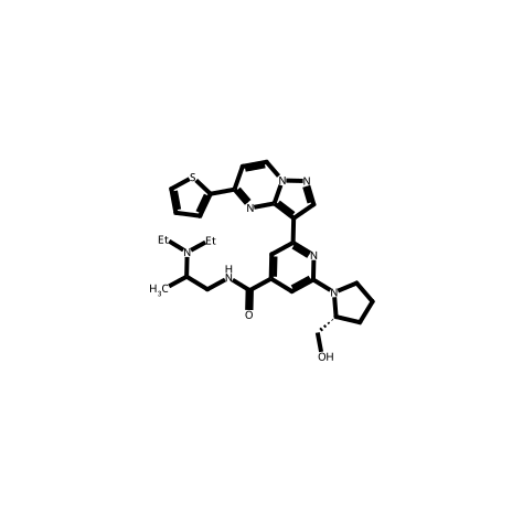 CCN(CC)C(C)CNC(=O)c1cc(-c2cnn3ccc(-c4cccs4)nc23)nc(N2CCC[C@@H]2CO)c1